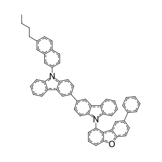 CCCCc1ccc2ccc(-n3c4ccccc4c4cc(-c5ccc6c(c5)c5ccccc5n6-c5cccc6oc7ccc(-c8ccccc8)cc7c56)ccc43)cc2c1